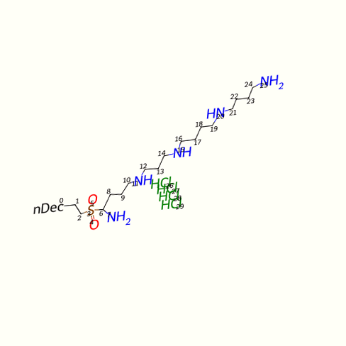 CCCCCCCCCCCCS(=O)(=O)C(N)CCCNCCCNCCCCNCCCCN.Cl.Cl.Cl.Cl